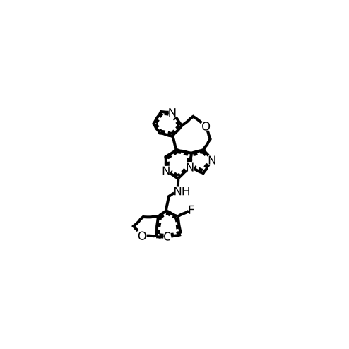 Fc1ccc2c(c1CNc1ncc3c4c(ncn14)COCc1ncccc1-3)CCO2